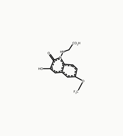 O=C(O)CNn1c(=O)c(O)cc2cc(OC(F)(F)F)ccc21